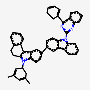 CC1=CC(n2c3c(c4cc(-c5ccc6c(c5)c5ccccc5n6-c5nc(C6=CC=CCC6)c6ccccc6n5)ccc42)-c2ccccc2CC3)CC(C)=C1